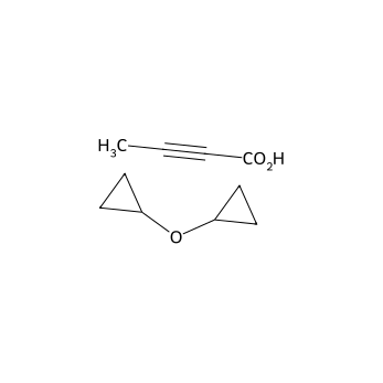 C1CC1OC1CC1.CC#CC(=O)O